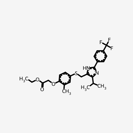 CCOC(=O)COc1ccc(SCc2[nH]c(-c3ccc(C(F)(F)F)cc3)nc2C(C)C)cc1C